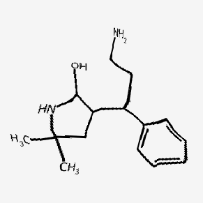 CC1(C)CC(C(CCN)c2ccccc2)C(O)N1